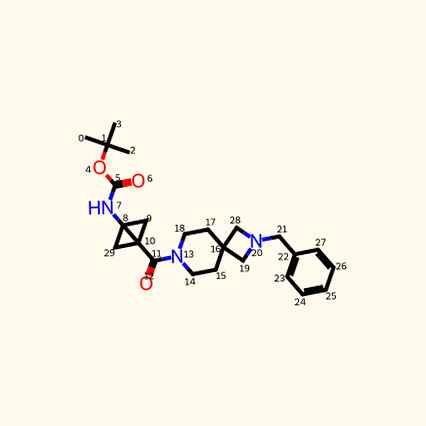 CC(C)(C)OC(=O)NC12CC1(C(=O)N1CCC3(CC1)CN(Cc1ccccc1)C3)C2